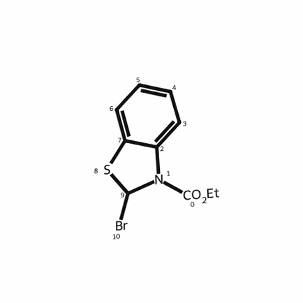 CCOC(=O)N1c2ccccc2SC1Br